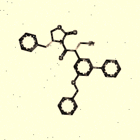 CC(C)C[C@@H](C(=O)N1C(=O)OC[C@H]1Cc1ccccc1)c1cc(OCc2ccccc2)cc(-c2ccccc2)c1